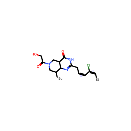 CC/C=C(Cl)\C=C/CC1=NC2C(CCCC)CN(C(=O)CO)CC2C(=O)N1